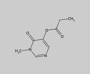 CCC(=O)Oc1cncn(C)c1=O